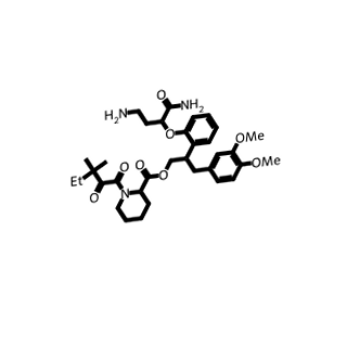 CCC(C)(C)C(=O)C(=O)N1CCCCC1C(=O)OCC(Cc1ccc(OC)c(OC)c1)c1ccccc1OC(CCN)C(N)=O